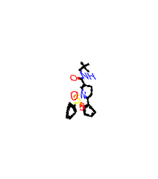 CC(C)(C)CNC(=O)C1CCC(c2ccccc2)N(S(=O)(=O)c2ccccc2)C1